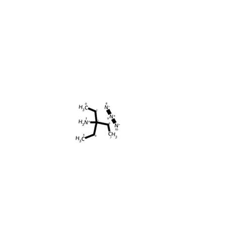 CCC([NH3+])(CC)CC.[N-]=[N+]=[N-]